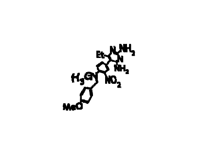 CCc1nc(N)nc(N)c1-c1ccc(N(C)Cc2ccc(OC)cc2)c([N+](=O)[O-])c1